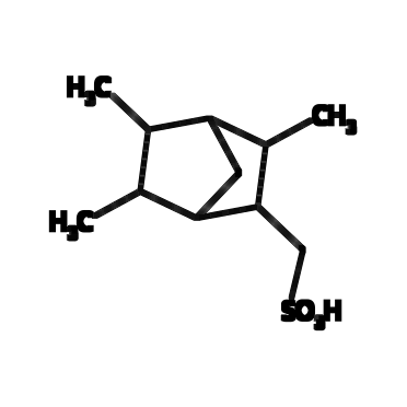 CC1C(C)C2CC1C(C)C2CS(=O)(=O)O